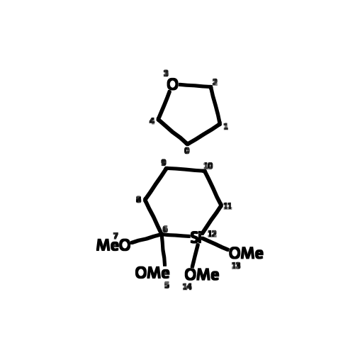 C1CCOC1.COC1(OC)CCCC[Si]1(OC)OC